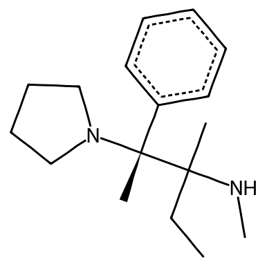 CCC(C)(NC)[C@@](C)(c1ccccc1)N1CCCC1